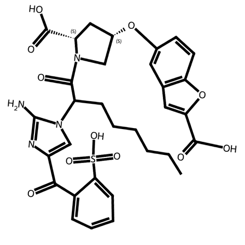 CCCCCCC(C(=O)N1C[C@@H](Oc2ccc3oc(C(=O)O)cc3c2)C[C@H]1C(=O)O)n1cc(C(=O)c2ccccc2S(=O)(=O)O)nc1N